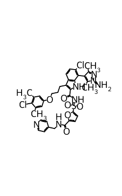 Cc1cc(OCCCc2c(C(=O)NS(=O)(=O)c3ccc(C(=O)NCc4ccncc4)o3)[nH]c3c(-c4c(C)nn(N)c4C)c(Cl)ccc23)cc(C)c1Cl